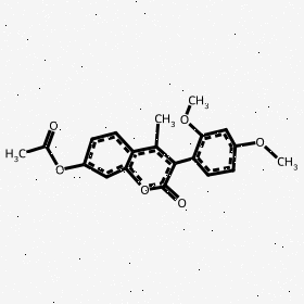 COc1ccc(-c2c(C)c3ccc(OC(C)=O)cc3oc2=O)c(OC)c1